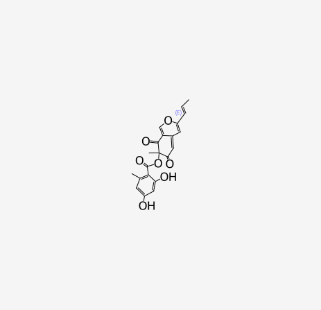 C/C=C/C1=CC2=CC(=O)C(C)(OC(=O)c3c(C)cc(O)cc3O)C(=O)C2=CO1